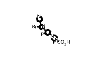 CC1CN(c2ccc(-n3cc(Br)c(-c4ccncc4)n3)c(F)c2)CCN1C(=O)O